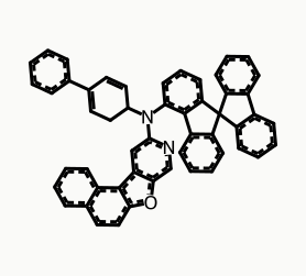 C1=CC(N(c2cc3c(cn2)oc2ccc4ccccc4c23)c2cccc3c2-c2ccccc2C32c3ccccc3-c3ccccc32)CC=C1c1ccccc1